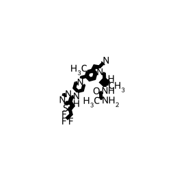 Cc1c(CN2CCC(Nc3ncnc4sc(CC(F)(F)F)cc34)CC2)ccc2c1cc(C#N)n2CC12CC(NC(=O)C(C)N)(C1)[C@H]2C